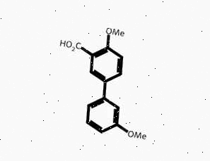 COc1cccc(-c2ccc(OC)c(C(=O)O)c2)c1